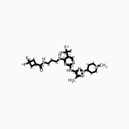 Cc1nn(C2CCN(C)CC2)nc1Nc1ncc(C(F)(F)F)c(NCCCNC(=O)C2CC(F)(F)C2)n1